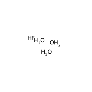 F.O.O.O